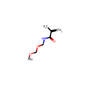 C=C(C)C(=O)NCOCOCCCC